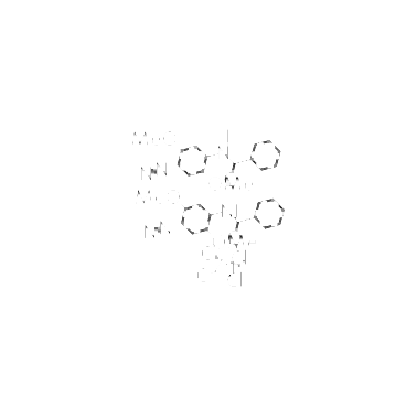 COc1cc(NC(=O)c2ccccc2)c(OC)cc1[N+]#N.COc1cc(NC(=O)c2ccccc2)c(OC)cc1[N+]#N.[Cl][Zn-2]([Cl])([Cl])[Cl]